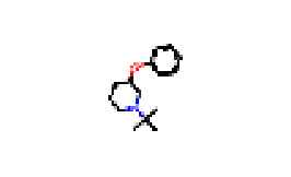 CC(C)(C)N1CCCC(Oc2ccccc2)C1